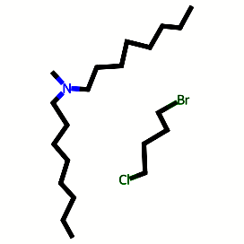 CCCCCCCCN(C)CCCCCCCC.ClCCCCBr